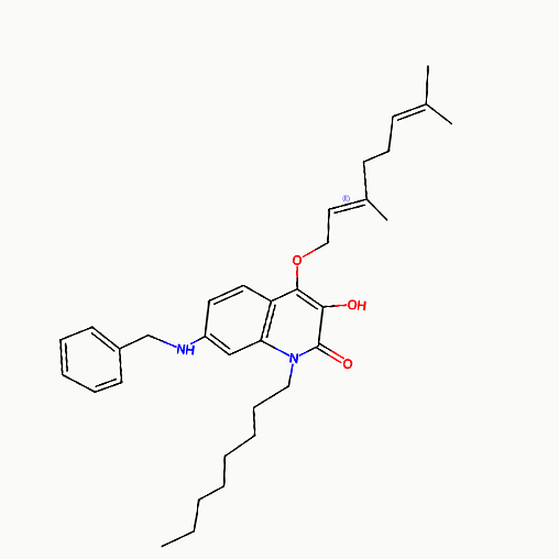 CCCCCCCCn1c(=O)c(O)c(OC/C=C(\C)CCC=C(C)C)c2ccc(NCc3ccccc3)cc21